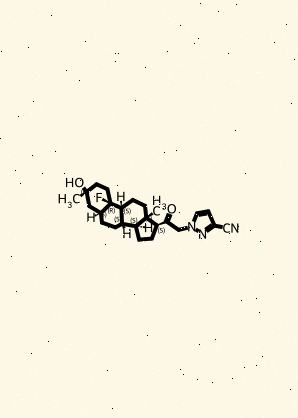 C[C@@]1(O)CC[C@@]2(F)[C@@H](CC[C@H]3[C@@H]4CC[C@H](C(=O)Cn5ccc(C#N)n5)[C@@]4(C)CC[C@@H]32)C1